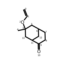 C=COC1(C)CC2CCC(=O)C(C2)C1